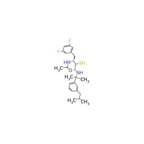 CC(=O)N[C@@H](Cc1cc(F)cc(F)c1)[C@@H](S)CNC(C)(C)c1cccc(CC(C)C)c1